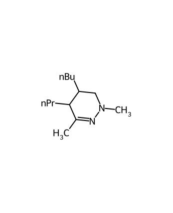 CCCCC1CN(C)N=C(C)C1CCC